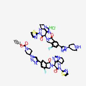 CC(C)(C)OC(=O)N1CCC(n2cc(-c3cc(F)c4c(c3)C(=O)N(C(C(=O)Nc3nccs3)c3ncn5c3CCC5)C4)nn2)CC1.Cl.O=C(Nc1nccs1)C(c1ncn2c1CCC2)N1Cc2c(F)cc(-c3cn(C4CCNCC4)nn3)cc2C1=O